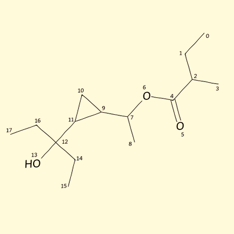 CCC(C)C(=O)OC(C)C1CC1C(O)(CC)CC